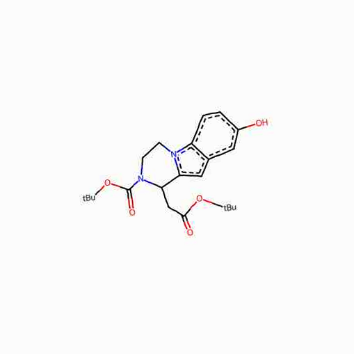 CC(C)(C)OC(=O)CC1c2cc3cc(O)ccc3n2CCN1C(=O)OC(C)(C)C